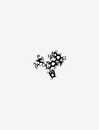 CN(C)C[C@@]1(COc2nc(N3CC4CCC(C4)C3)c3cc(F)c(-c4c(C(F)(F)F)c(Cl)cc5cn[nH]c45)c(F)c3n2)CC1(F)F